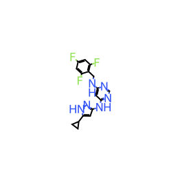 Fc1cc(F)c(CNc2cc(Nc3cc(C4CC4)[nH]n3)ncn2)c(F)c1